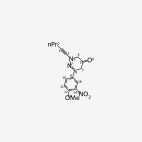 CCCC#CN1CC(=O)CC(c2ccc(OC)c([N+](=O)[O-])c2)=N1